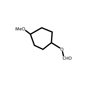 COC1CCC(OC=O)CC1